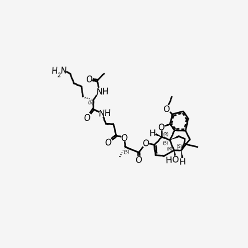 COc1ccc2c3c1O[C@H]1C(OC(=O)[C@H](C)OC(=O)CCNC(=O)[C@H](CCCCN)NC(C)=O)=CC[C@@]4(O)[C@@H](C2)C(C)CC[C@]314